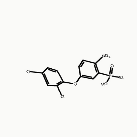 CCP(=O)(O)c1cc(Oc2ccc(Cl)cc2Cl)ccc1[N+](=O)[O-]